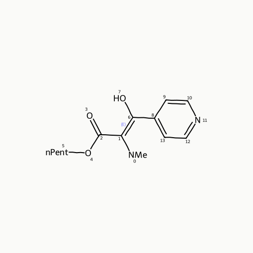 [CH2-][NH2+]/C(C(=O)OCCCCC)=C(/O)c1ccncc1